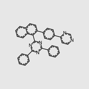 c1ccc(-c2nc(-c3ccccc3)nc(-c3c(-c4ccc(-c5ccncn5)cc4)ccc4ccccc34)n2)cc1